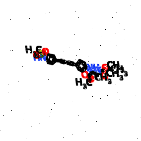 COC(=O)C(Nc1ccc(C#CC#Cc2ccc(NS(C)(=O)=O)cc2)cc1)C(C)NC(=O)OC(C)(C)C